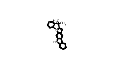 CC1(C)c2ccccc2-n2c1cc1cc3c(cc12)[nH]c1ccccc13